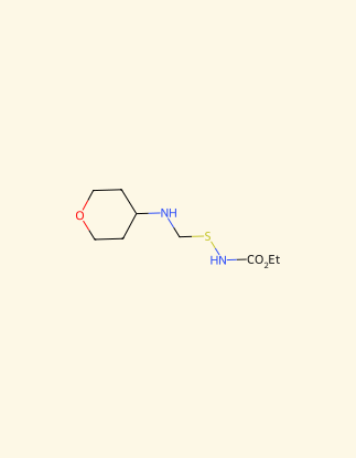 CCOC(=O)NSCNC1CCOCC1